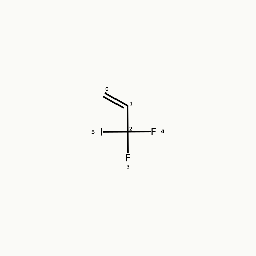 C=CC(F)(F)I